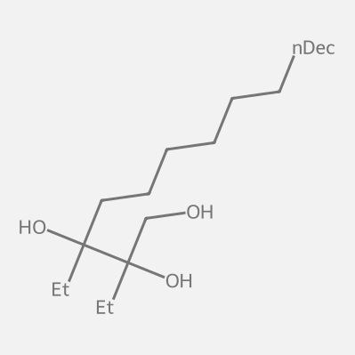 CCCCCCCCCCCCCCCCC(O)(CC)C(O)(CC)CO